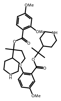 COc1ccc(C(=O)OC(C)(CCOc2ccc(OC)cc2C(=O)OC(C)(C)C2CCNCC2)C2CCNCC2)c(OC)c1